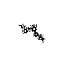 Cc1cn(-c2nccc3[nH]c(-c4n[nH]c5ccc(-c6cncc(NC(=O)CC(C)(C)C)c6)cc45)nc23)cn1